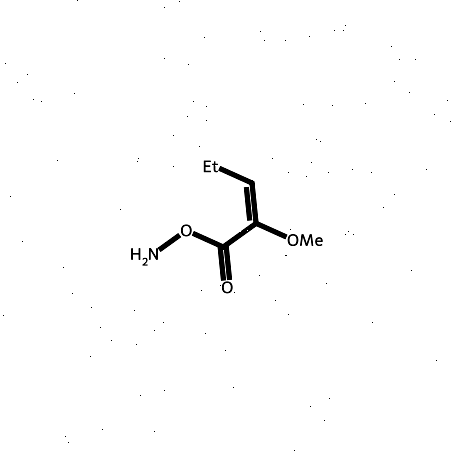 CCC=C(OC)C(=O)ON